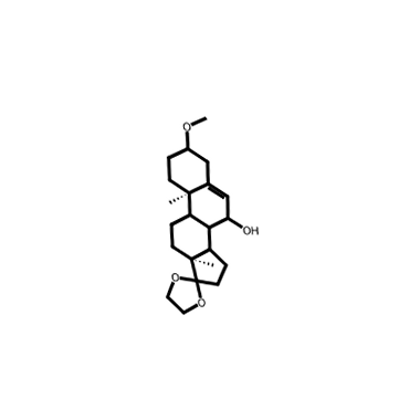 COC1CC[C@@]2(C)C(=CC(O)C3C2CC[C@@]2(C)C3CCC23OCCO3)C1